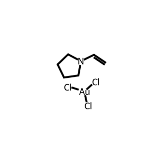 C=CN1CCCC1.[Cl][Au]([Cl])[Cl]